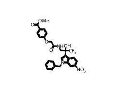 COC(=O)c1ccc(OCC(=O)NCC(O)(c2cn(Cc3ccccc3)c3cc([N+](=O)[O-])ccc23)C(F)(F)F)cc1